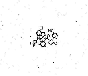 N#Cc1ccnc(N2C(=O)CC[C@H]2C(=O)N(c2cc(F)cc(F)c2)[C@@]2(C(=O)NC3CC(F)(F)C3)CCc3c(Cl)cccc32)c1